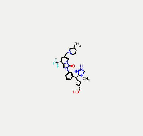 C[C@H]1CCCN(Cc2cc(C(F)(F)F)c3cn(-c4cccc([C@H](C5NNCN5C)[C@H]5C[C@@H](CO)C5)c4)c(=O)n3c2)C1